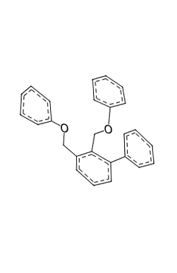 c1ccc(OCc2cccc(-c3ccccc3)c2COc2ccccc2)cc1